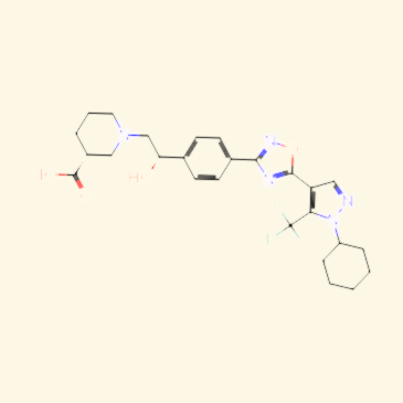 O=C(O)[C@H]1CCCN(C[C@H](O)c2ccc(-c3noc(-c4cnn(C5CCCCC5)c4C(F)(F)F)n3)cc2)C1